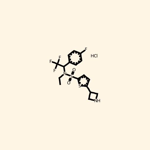 CCN(C(c1ccc(F)cc1)C(F)(F)F)S(=O)(=O)c1ccc(C2CNC2)s1.Cl